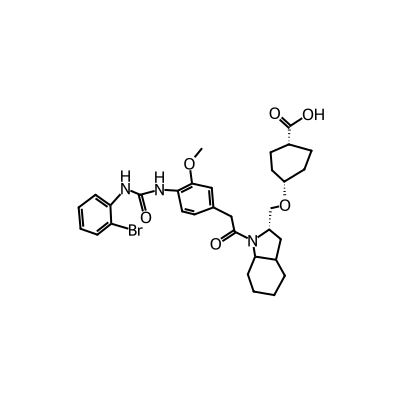 COc1cc(CC(=O)N2C3CCCCC3C[C@H]2CO[C@H]2CC[C@@H](C(=O)O)CC2)ccc1NC(=O)Nc1ccccc1Br